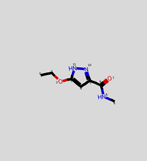 CCOc1cc(C(=O)NC)n[nH]1